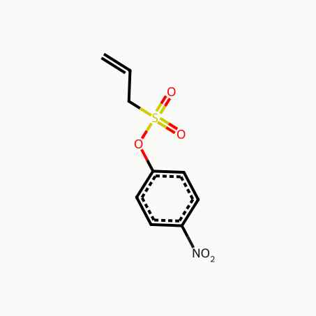 C=CCS(=O)(=O)Oc1ccc([N+](=O)[O-])cc1